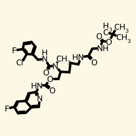 CN(C(=O)NCc1cccc(F)c1Cl)C(CCCNC(=O)CNC(=O)OC(C)(C)C)COC(=O)Nc1cc2cc(F)ccc2cn1